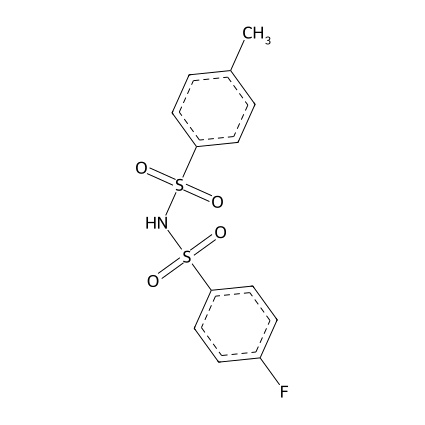 Cc1ccc(S(=O)(=O)NS(=O)(=O)c2ccc(F)cc2)cc1